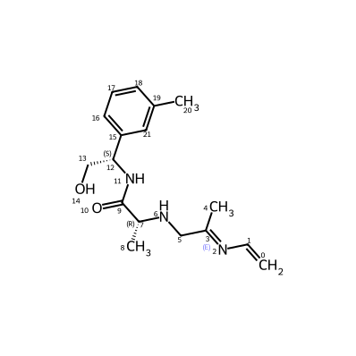 C=C/N=C(\C)CN[C@H](C)C(=O)N[C@H](CO)c1cccc(C)c1